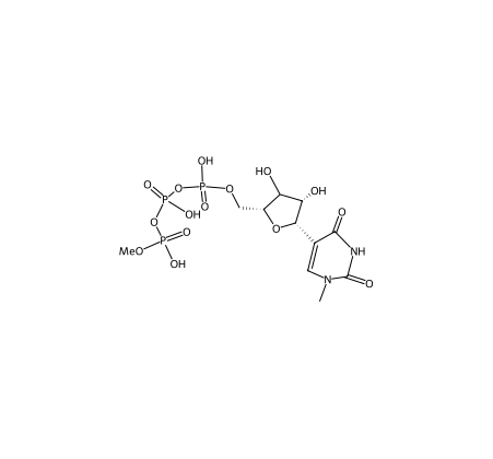 COP(=O)(O)OP(=O)(O)OP(=O)(O)OC[C@H]1O[C@@H](c2cn(C)c(=O)[nH]c2=O)[C@@H](O)C1O